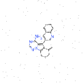 C=C1C[CH]Cc2c1c(-c1cnc3ccccc3c1)c1c(N)ncnn21